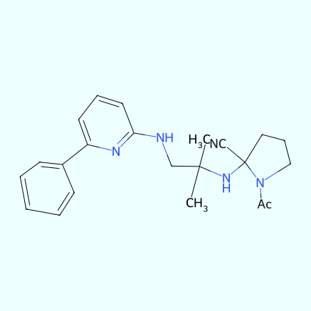 CC(=O)N1CCCC1(C#N)NC(C)(C)CNc1cccc(-c2ccccc2)n1